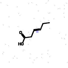 CC/C=C/CC(=O)O